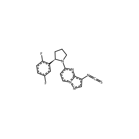 Fc1ccc(F)c([C@H]2CCCN2c2ccn3ncc(N=C=S)c3n2)c1